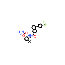 CC(C)(C)c1ccc(OC(N)=O)cc1CNC(=O)c1ccc2c(-c3ccc(C(F)(F)F)cc3)cccc2c1